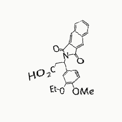 CCOc1cc(C(CC(=O)O)N2C(=O)c3cc4ccccc4cc3C2=O)ccc1OC